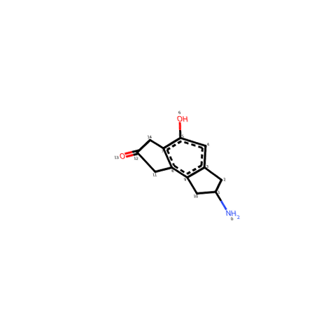 NC1Cc2cc(O)c3c(c2C1)CC(=O)C3